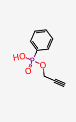 C#CCOP(=O)(O)c1ccccc1